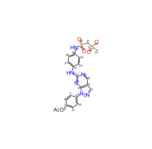 CC(=O)Oc1ccc(-n2ncc3cnc(Nc4ccc(NS(=O)(=O)CS(C)(=O)=O)cc4)nc32)cc1